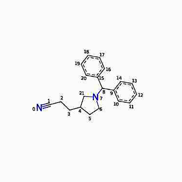 N#CCCC1CCN(C(c2ccccc2)c2ccccc2)C1